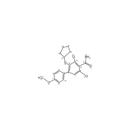 COc1ccc(-c2cc(Cl)c(C(N)=O)c(Cl)c2OC2CCCC2)cc1